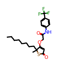 CCCCCCCCC1(C)SC(=O)C=C1OCC(=O)Nc1ccc(C(F)(F)F)cc1